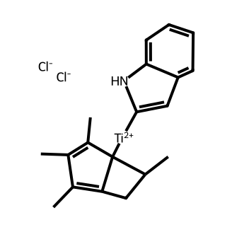 CC1=C(C)[C]2([Ti+2][c]3cc4ccccc4[nH]3)C(=C1C)CC2C.[Cl-].[Cl-]